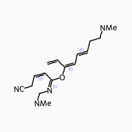 C=C/C(=C\C=C\CCNC)OC(/C=C\CC#N)=N/CNC